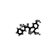 CC1CCC(C(C)C)C(C(=O)NC(C)Cc2ccccn2)C1